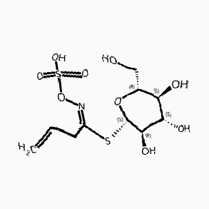 C=CCC(=NOS(=O)(=O)O)S[C@@H]1O[C@H](CO)[C@@H](O)[C@H](O)[C@H]1O